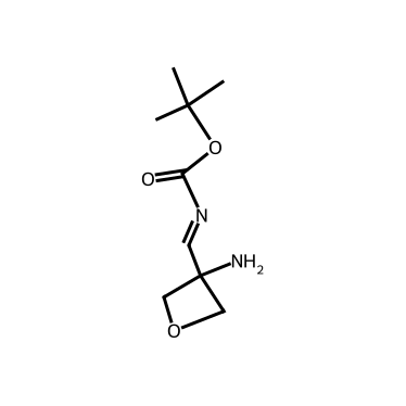 CC(C)(C)OC(=O)N=CC1(N)COC1